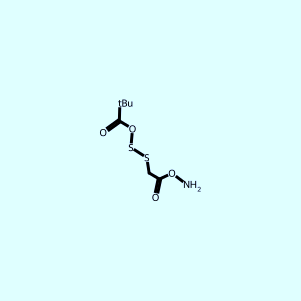 CC(C)(C)C(=O)OSSCC(=O)ON